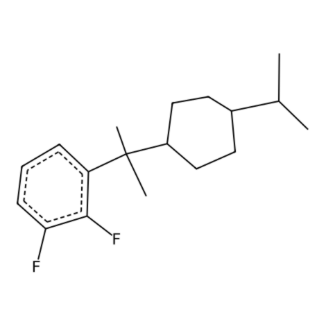 CC(C)C1CCC(C(C)(C)c2cccc(F)c2F)CC1